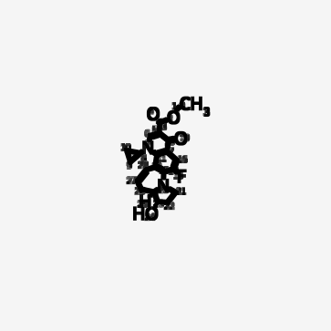 CCOC(=O)c1cn(C2CC2)c2c3c(c(F)cc2c1=O)N1CC[C@@H](O)[C@H]1CC=C3